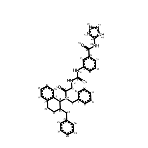 O=C(NCC(=O)N(Cc1ccccc1)C1c2ccccc2CCC1Cc1ccccc1)Nc1cccc(C(=O)Nc2nnn[nH]2)c1